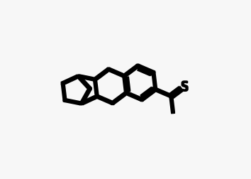 CC(=S)c1ccc2c(c1)CC1C3CCC(C3)C1C2